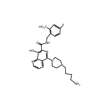 NCCCCN1CCN(c2nc(C(=O)NCc3ccc(F)cc3C(=O)O)c(O)c3ncccc23)CC1